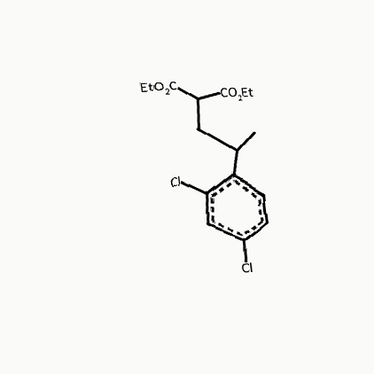 CCOC(=O)C(CC(C)c1ccc(Cl)cc1Cl)C(=O)OCC